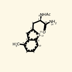 CC(=O)N[C@H](Cc1cc2c(C)cccc2s1)C(N)=O